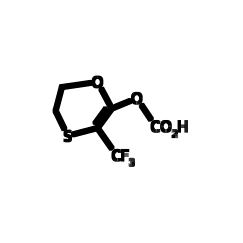 O=C(O)OC1=C(C(F)(F)F)SCCO1